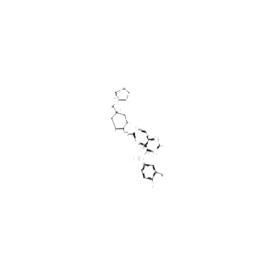 Fc1ccc(Nc2ncnc3cnc(NC4CCC(CN5CCCC5)CC4)nc23)cc1Cl